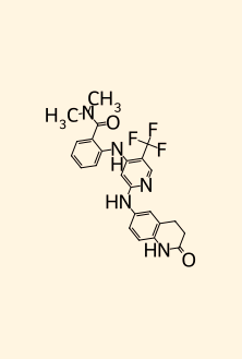 CN(C)C(=O)c1ccccc1Nc1cc(Nc2ccc3c(c2)CCC(=O)N3)ncc1C(F)(F)F